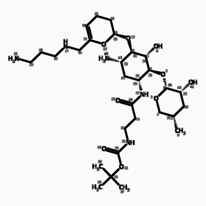 C[C@@H]1CO[C@H](O[C@@H]2[C@@H](O)[C@H](O[C@@H]3CCC=C(CNCCCN)O3)[C@@H](N)C[C@H]2NC(=O)CCNC(=O)OC(C)(C)C)[C@H](O)C1